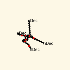 CCCCCCCCCCCCCCCC#CCCc1ccccc1C1=CC=C(c2ccccc2CCC#CCCCCCCCCCCCCCCC)[N+]1=[N-].CCCCCCCCCCCCCCCCCCCCCCCC[CH2][Ni][CH2]CCCCCCCCCCCCCCCCCCCCCCCC